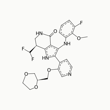 COc1c(F)cccc1Nc1c(-c2ccncc2OC[C@@H]2COCCO2)[nH]c2c1C(=O)NC[C@@H]2C(F)F